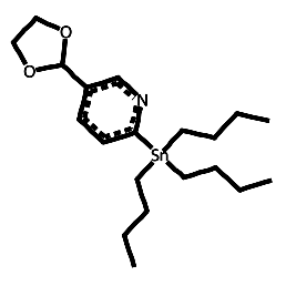 CCC[CH2][Sn]([CH2]CCC)([CH2]CCC)[c]1ccc(C2OCCO2)cn1